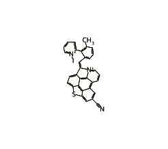 Cc1cccc(/C=C2/c3ccc4sc5cc(C#N)cc6c7ccc[n+]2c7c3c4c56)c1-c1cccc[n+]1I